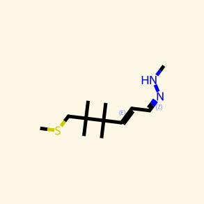 CN/N=C\C=C\C(C)(C)C(C)(C)CSC